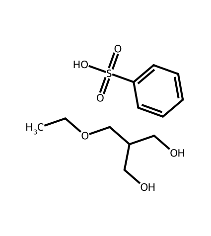 CCOCC(CO)CO.O=S(=O)(O)c1ccccc1